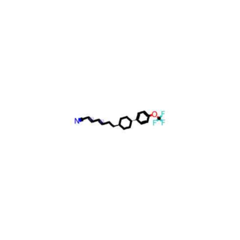 N#C/C=C/C=C/CC[C@H]1CC[C@H](c2ccc(OC(F)(F)F)cc2)CC1